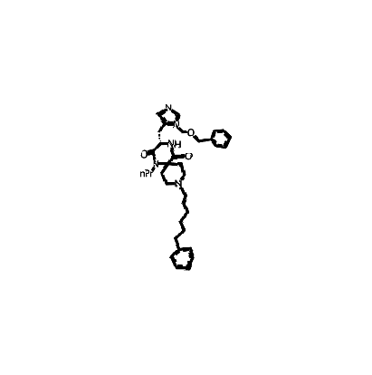 CCCN1C(=O)[C@H](Cc2cncn2COCc2ccccc2)NC(=O)C12CCN(CCCCCCc1ccccc1)CC2